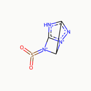 O=S(=O)=[N+]1c2[nH]c3n[n+]2C31